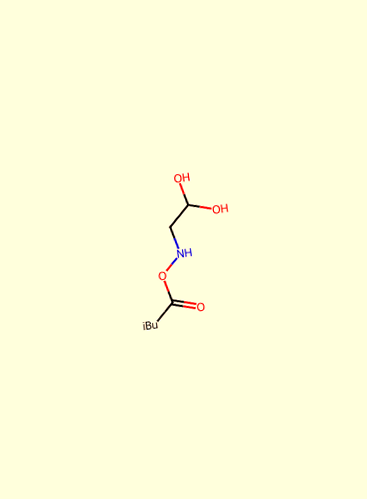 CCC(C)C(=O)ONCC(O)O